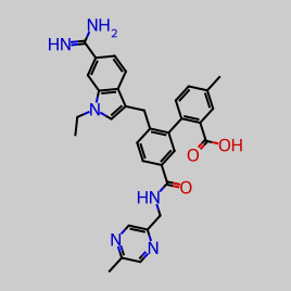 CCn1cc(Cc2ccc(C(=O)NCc3cnc(C)cn3)cc2-c2ccc(C)cc2C(=O)O)c2ccc(C(=N)N)cc21